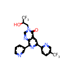 O=c1c2cc(-c3ccc(C(F)(F)F)cn3)nc(-c3cccnc3)c2ncn1CC(O)C(F)(F)F